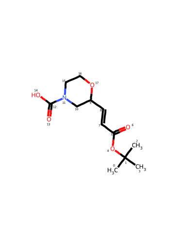 CC(C)(C)OC(=O)/C=C/C1CN(C(=O)O)CCO1